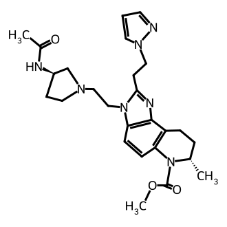 COC(=O)N1c2ccc3c(nc(CCn4cccn4)n3CCN3CC[C@@H](NC(C)=O)C3)c2CC[C@@H]1C